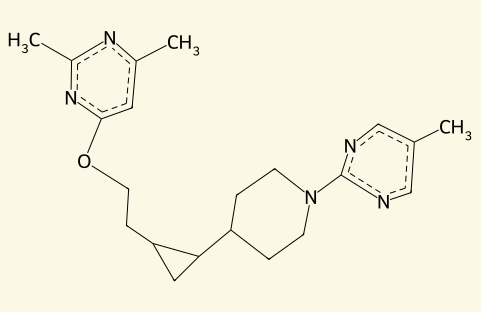 Cc1cnc(N2CCC(C3CC3CCOc3cc(C)nc(C)n3)CC2)nc1